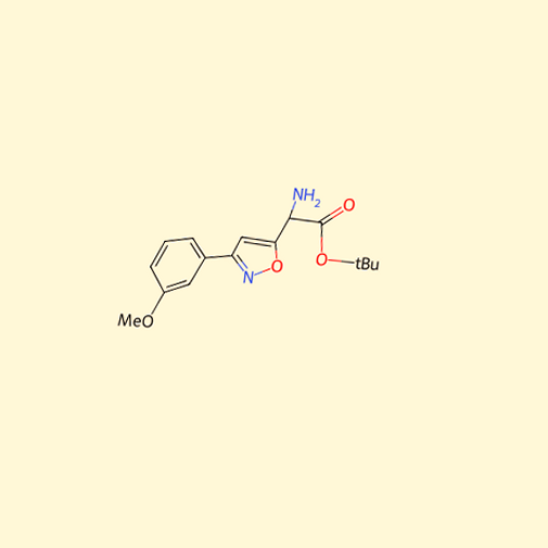 COc1cccc(-c2cc(C(N)C(=O)OC(C)(C)C)on2)c1